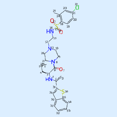 C=C(N[C@@H](CC(C)C)C(=O)N1CCN(CCNS(=O)(=O)c2ccc(Cl)cc2C)CC1)c1cc2ccccc2s1